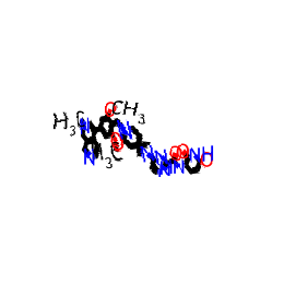 COc1cc(C2=CN(C)Cc3cnccc32)cc(OC)c1CN1CCC2(CC1)CN(c1ccnc(C(=O)NC3CCC(=O)NC3=O)n1)C2